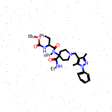 CCCN(C(=O)C(CC(C)C)NC(=O)OC(C)(C)C)C1(C(=O)NCC)CCN(Cc2c(C)nn(-c3ccccc3)c2C)CC1